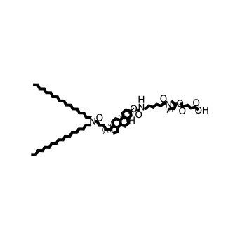 CCCCCCCCCCCCCCCCCCN(CCCCCCCCCCCCCCCCCC)C(=O)CC[C@@H](C)[C@H]1CCC2C3CC[C@@H]4C[C@H](OC(=O)NCCCCCC(=O)N5C[C@H](OC(=O)CCC(=O)O)C[C@H]5C)CC[C@]4(C)C3CC[C@@]21C